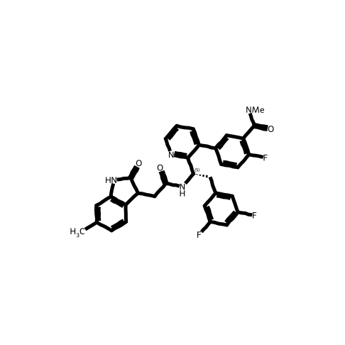 CNC(=O)c1cc(-c2cccnc2[C@H](Cc2cc(F)cc(F)c2)NC(=O)CC2C(=O)Nc3cc(C)ccc32)ccc1F